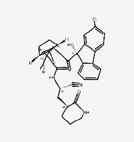 N#C[C@H](C[C@@H]1CCCNC1=O)NC(=O)[C@H]1[C@@H]2CC[C@@H](CC2(F)F)N1C(=O)[C@]1(O)c2ccccc2-c2ccc(Cl)cc21